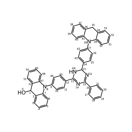 OC1c2ccccc2N(c2ccc(C3=NC(c4ccccc4)=NC(c4ccc(N5c6ccccc6Cc6ccccc65)cc4)N3)cc2)c2ccccc21